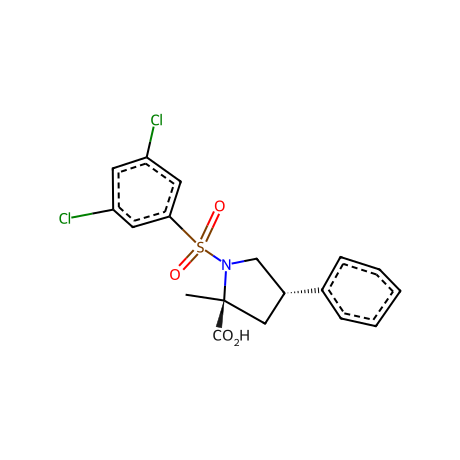 C[C@@]1(C(=O)O)C[C@@H](c2ccccc2)CN1S(=O)(=O)c1cc(Cl)cc(Cl)c1